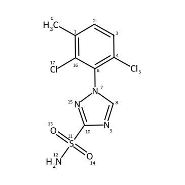 Cc1ccc(Cl)c(-n2cnc(S(N)(=O)=O)n2)c1Cl